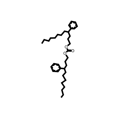 CCCCCCCCC(CCCOC(=O)OCCCC(CCCCCCCC)c1ccccc1)c1ccccc1